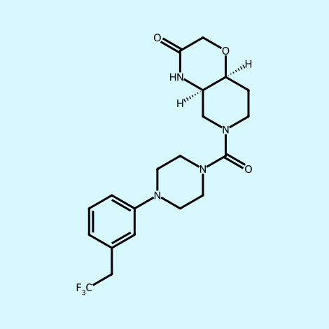 O=C1CO[C@H]2CCN(C(=O)N3CCN(c4cccc(CC(F)(F)F)c4)CC3)C[C@H]2N1